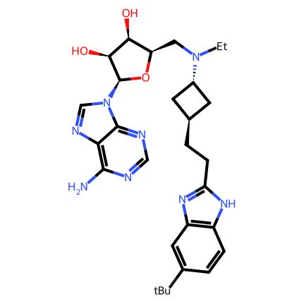 CCN(C[C@H]1O[C@@H](n2cnc3c(N)ncnc32)[C@@H](O)[C@H]1O)[C@H]1C[C@H](CCc2nc3cc(C(C)(C)C)ccc3[nH]2)C1